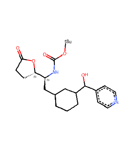 CC(C)(C)OC(=O)N[C@@H](CC1CCCC(C(O)c2ccncc2)C1)[C@@H]1CCC(=O)O1